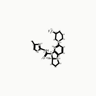 Cc1csc(NC(=O)N2c3nc(N4CCCC(C(F)(F)F)C4)ccc3N3CCC[C@H]32)n1